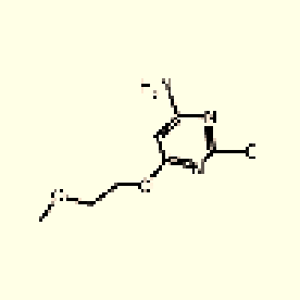 COCCOc1cc(N)nc(Cl)n1